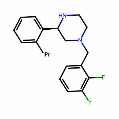 CC(C)c1ccccc1[C@@H]1CN(Cc2cccc(F)c2F)CCN1